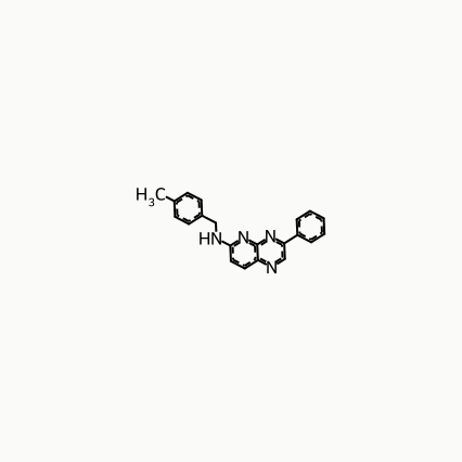 Cc1ccc(CNc2ccc3ncc(-c4ccccc4)nc3n2)cc1